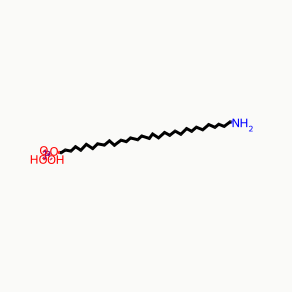 NCCCCCCCCCCCCCCCCCCCCCCCCCCCCCCCCOP(=O)(O)O